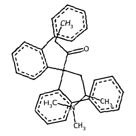 CCC(=O)C(CC(C)N(C)C)(c1ccccc1-c1ccccc1)c1ccccc1-c1ccccc1